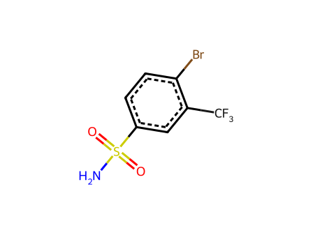 NS(=O)(=O)c1ccc(Br)c(C(F)(F)F)c1